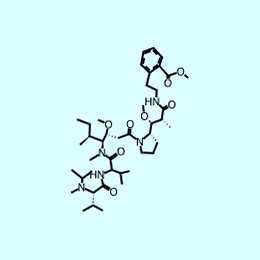 CC[C@H](C)[C@@H]([C@@H](CC(=O)N1CCC[C@H]1[C@H](OC)[C@@H](C)C(=O)NCCc1ccccc1C(=O)OC)OC)N(C)C(=O)C(NC(=O)[C@H](C(C)C)N(C)C(C)C)C(C)C